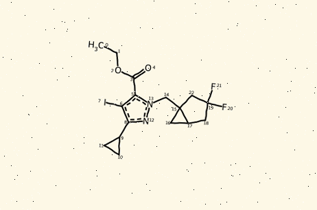 CCOC(=O)c1c(I)c(C2CC2)nn1CC12CC1CC(F)(F)C2